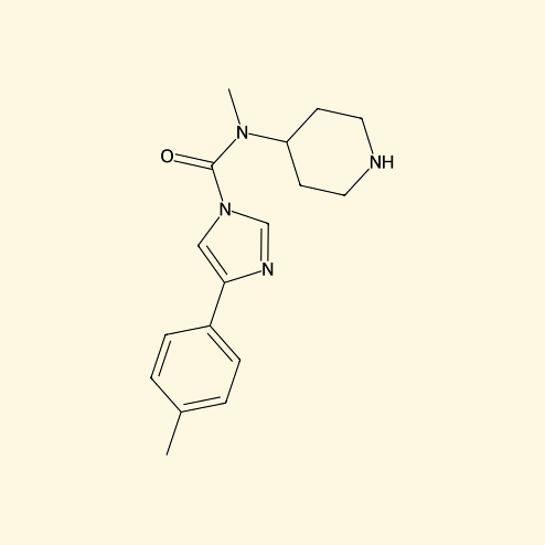 Cc1ccc(-c2cn(C(=O)N(C)C3CCNCC3)cn2)cc1